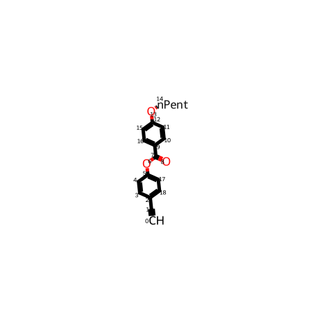 C#Cc1ccc(OC(=O)c2ccc(OCCCCC)cc2)cc1